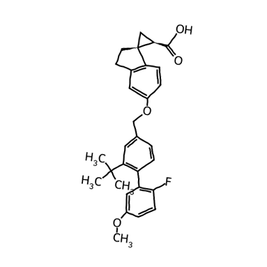 COc1ccc(F)c(-c2ccc(COc3ccc4c(c3)CC[C@]43C[C@H]3C(=O)O)cc2C(C)(C)C)c1